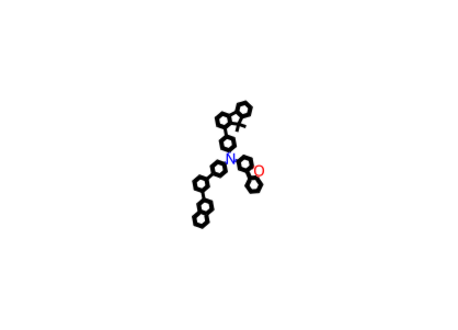 CC1(C)c2ccccc2-c2cccc(-c3ccc(N(c4ccc(-c5cccc(-c6ccc7ccccc7c6)c5)cc4)c4ccc5oc6ccccc6c5c4)cc3)c21